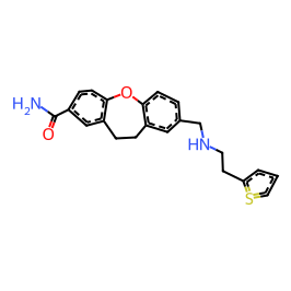 NC(=O)c1ccc2c(c1)CCc1cc(CNCCc3cccs3)ccc1O2